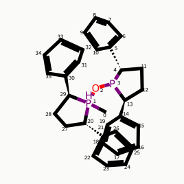 C[PH]1(OP2[C@H](c3ccccc3)CC[C@H]2c2ccccc2)[C@H](c2ccccc2)CC[C@H]1c1ccccc1